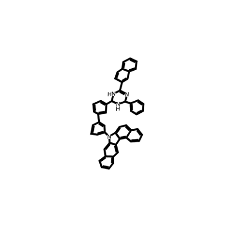 c1ccc(C2N=C(c3ccc4ccccc4c3)NC(c3cccc(-c4cccc(-n5c6cc7ccccc7cc6c6c7ccccc7ccc65)c4)c3)N2)cc1